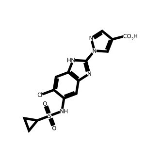 O=C(O)c1cnn(-c2nc3cc(NS(=O)(=O)C4CC4)c(Cl)cc3[nH]2)c1